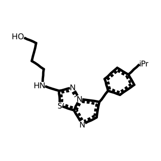 CC(C)c1ccc(-c2cnc3sc(NCCCO)nn23)cc1